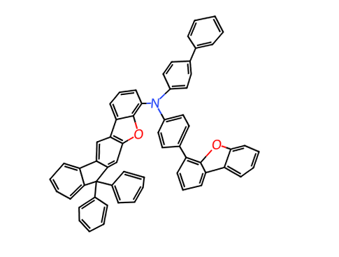 c1ccc(-c2ccc(N(c3ccc(-c4cccc5c4oc4ccccc45)cc3)c3cccc4c3oc3cc5c(cc34)-c3ccccc3C5(c3ccccc3)c3ccccc3)cc2)cc1